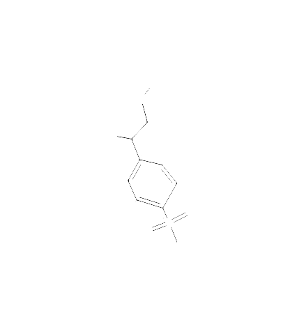 CCCNCC(O)c1ccc(S(C)(=O)=O)cc1